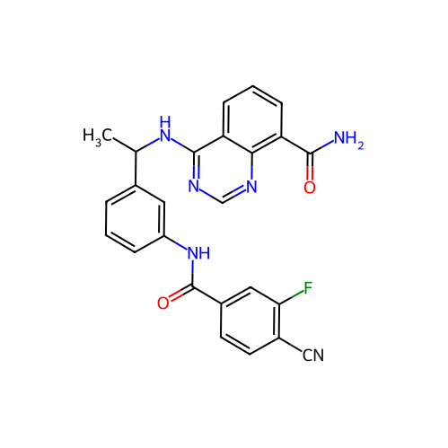 CC(Nc1ncnc2c(C(N)=O)cccc12)c1cccc(NC(=O)c2ccc(C#N)c(F)c2)c1